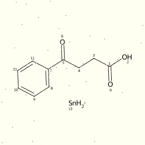 O=C(O)CCC(=O)c1ccccc1.[SnH2]